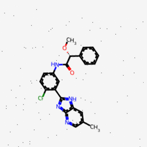 CO[C@@H](C(=O)Nc1ccc(Cl)c(-c2nc3ncc(C)cc3[nH]2)c1)c1ccccc1